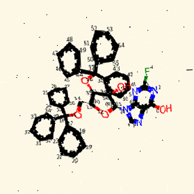 Oc1nc(F)nc2c1ncn2[C@@H]1O[C@H](COC(c2ccccc2)(c2ccccc2)c2ccccc2)[C@@H](OC(c2ccccc2)(c2ccccc2)c2ccccc2)[C@H]1O